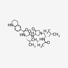 CC(=O)N[C@@H](CC(C)C)CN1CC(=O)C(NC(=O)[C@H](CC(C)C)NC(=O)c2ccc3c(c2)CCCN3)C1